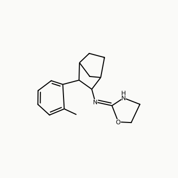 Cc1ccccc1C1C2CCC(C2)C1N=C1NCCO1